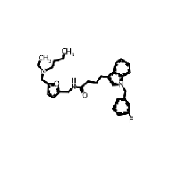 CCCCN(CC)Cc1ccc(CNC(=O)CCCc2cn(Cc3cccc(F)c3)c3ccccc23)o1